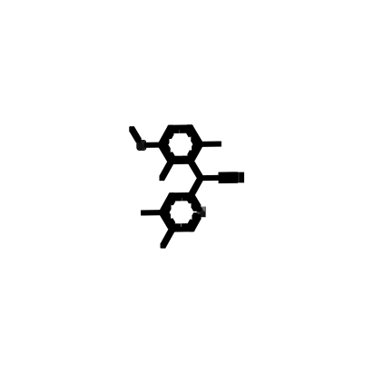 COc1ccc(C)c(C(C#N)c2cc(C)c(C)cn2)c1C